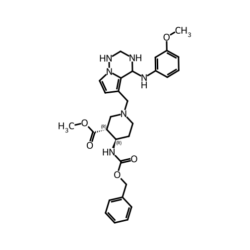 COC(=O)[C@@H]1CN(Cc2ccn3c2C(Nc2cccc(OC)c2)NCN3)CC[C@H]1NC(=O)OCc1ccccc1